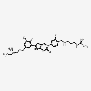 C=C[C@@H](N)CCCc1cc(Cl)c(F)c(-c2cc3cn(-c4ccc(CNCCCNC(C)=N)c(F)c4)c(=O)nc3[nH]2)c1